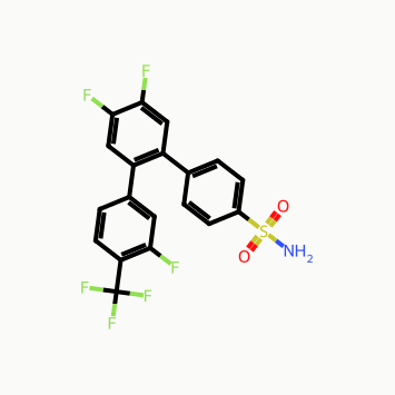 NS(=O)(=O)c1ccc(-c2cc(F)c(F)cc2-c2ccc(C(F)(F)F)c(F)c2)cc1